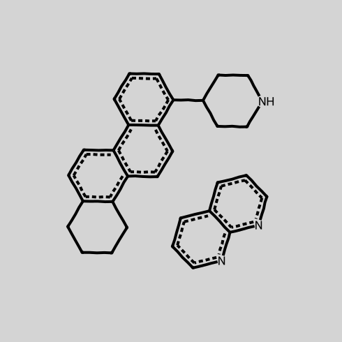 c1cc(C2CCNCC2)c2ccc3c4c(ccc3c2c1)CCCC4.c1cnc2ncccc2c1